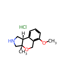 COc1cccc2c1CO[C@]1(C)CNC[C@H]21.Cl